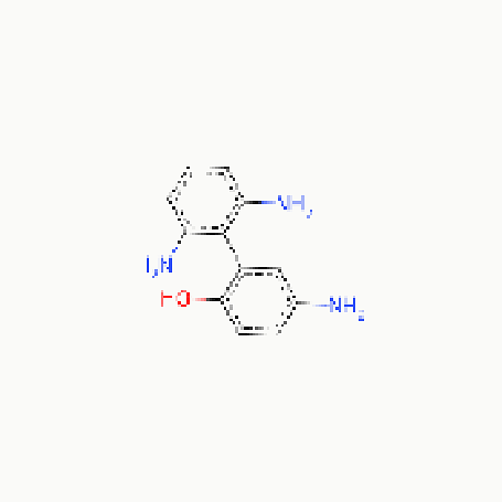 Nc1ccc(O)c(-c2c(N)cccc2N)c1